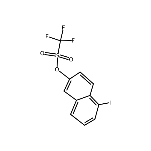 O=S(=O)(Oc1ccc2c(I)cccc2c1)C(F)(F)F